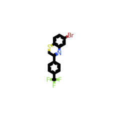 FC(F)(F)c1ccc(C2=Nc3cc(Br)ccc3SC2)cc1